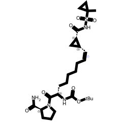 CC(C)(C)OC(=O)N[C@@H](CCCCC/C=C\[C@@H]1C[C@@H]1C(=O)NS(=O)(=O)C1(C)CC1)C(=O)N1CCC[C@H]1C(N)=O